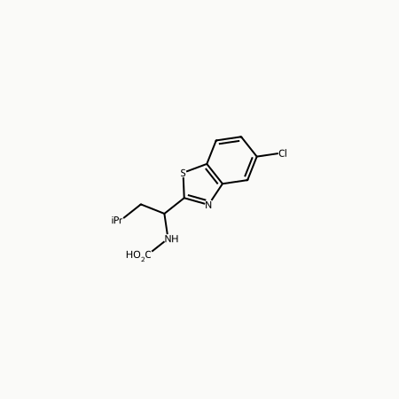 CC(C)CC(NC(=O)O)c1nc2cc(Cl)ccc2s1